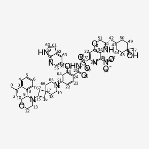 CC(C)c1ccccc1[C@@H]1COCCN1C1CC2(CCN(c3ccc(C(=O)NS(=O)(=O)c4cc5c(c([N+](=O)[O-])n4)N[C@@H](CC4CCC(C)(O)CC4)CO5)c(Oc4cnc5[nH]ccc5c4)c3)CC2)C1